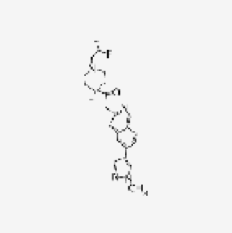 Cn1cc(-c2ccc3cnc(CC(=O)C4(F)CCN(CC(F)F)CC4)cc3c2)cn1